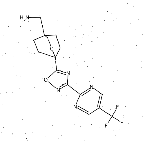 NCC12CCC(c3nc(-c4ncc(C(F)(F)F)cn4)no3)(CC1)CC2